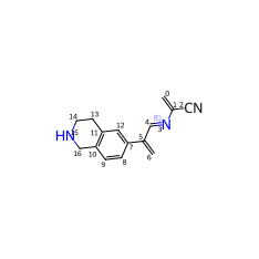 C=C(C#N)/N=C/C(=C)c1ccc2c(c1)CCNC2